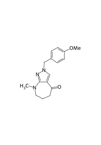 COc1ccc(Cn2cc3c(n2)N(C)CCCC3=O)cc1